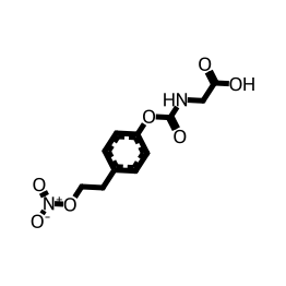 O=C(O)CNC(=O)Oc1ccc(CCO[N+](=O)[O-])cc1